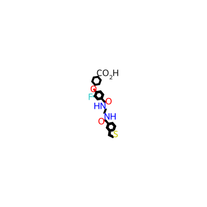 O=C(NCCNC(=O)c1ccc2sccc2c1)c1ccc(O[C@H]2CC[C@@H](C(=O)O)CC2)c(F)c1